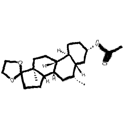 CC(=O)O[C@H]1CC[C@@H]2[C@H]3CC[C@@]4(C)[C@@H](CCC45OCCO5)[C@@H]3C[C@@H](C)[C@H]2C1